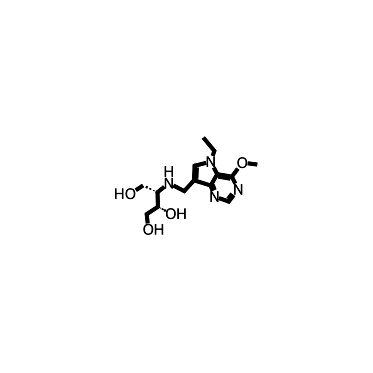 CCn1cc(CN[C@@H](CO)[C@H](O)CO)c2ncnc(OC)c21